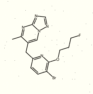 Cc1nc2ncnn2cc1Cc1ccc(Br)c(OCCCF)n1